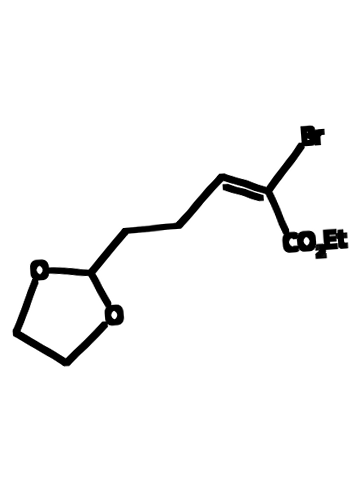 CCOC(=O)/C(Br)=C\CCC1OCCO1